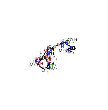 CNN(C)Cc1cc2ccccc2n1CCC(=O)N[C@@H](CCC(=O)O)C(=O)NCCOCCOCCC(=O)NC(C(=O)N[C@@H](C)C(=O)N(C)[C@@H](C)C(=O)O[C@H]1CC(=O)N(C)c2cc(cc(OC)c2Cl)C/C(C)=C/C=C/[C@@H](OC)[C@@]2(O)C[C@H](OC(=O)N2)[C@@H](C)C[C@@H]1C)C(C)C